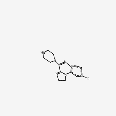 Clc1ccc2c(c1)N1CCN=C1C(N1CCNCC1)=N2